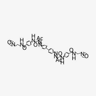 CC(=O)C(N=Nc1ccc(-c2ccc(N=NC(C(C)=O)C(=O)Nc3ccc(C(=O)NCCCN4CCOCC4)cc3)cc2)cc1)C(=O)Nc1ccc(C(=O)NCCCN2CCOCC2)cc1